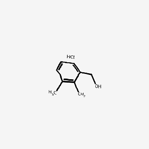 Cc1cccc(CO)c1C.Cl